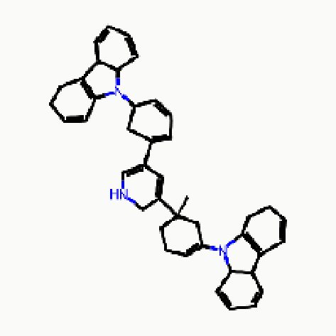 C[C@]1(C2=CC(C3=CC=CC(N4C5=C(CCC=C5)C5C=CC=CC54)C3)=CNC2)CCC=C(N2C3=C(C=CCC3)C3C=CC=CC32)C1